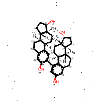 C[C@]12CC[C@@H]3c4cc(-c5cc(O)cc6c5[C@H]5CC[C@]7(C)[C@H](O)CC[C@H]7[C@@H]5CC6)c(O)cc4CC[C@H]3[C@@H]1CC[C@H]2O